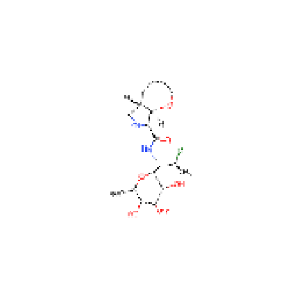 CSC1OC([C@H](NC(=O)[C@H]2NC[C@@H]3CCCCO[C@H]32)[C@H](C)Cl)C(O)C(O)C1O